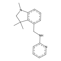 CN1CC(C)(C)c2c(CNc3ccccn3)cccc21